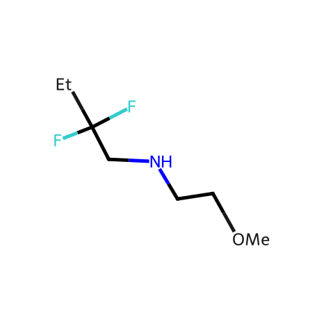 CCC(F)(F)CNCCOC